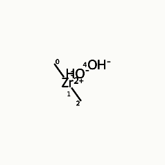 [CH3][Zr+2][CH3].[OH-].[OH-]